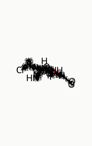 COC(=O)CCCCCCN1CCN(CCCNc2ccc(S(=O)(=O)NC(=O)c3ccc(N4CCN(CC5=C(c6ccc(Cl)cc6)CC(C)(C)CC5)CC4)cc3Oc3cnc4[nH]ccc4c3)cc2S(=O)(=O)C(F)(F)F)CC1